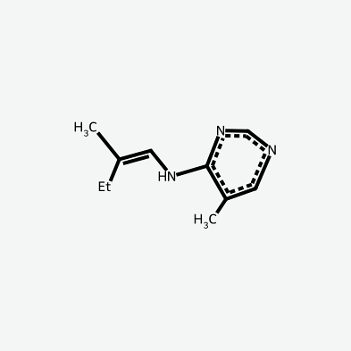 CC/C(C)=C\Nc1ncncc1C